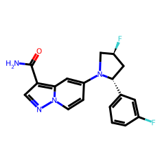 NC(=O)c1cnn2ccc(N3C[C@@H](F)C[C@@H]3c3cccc(F)c3)cc12